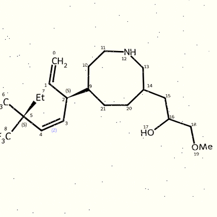 C=C[C@H](/C=C\[C@](C)(CC)C(F)(F)F)C1CCNCC(CC(O)COC)CC1